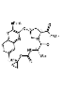 CCCCCc1nc2ccc(OC)cc2nc1O[C@@H]1C[C@@H](C(=O)OC)N(C(=O)[C@@H](NC(=O)OC2CC2)C(C)(C)C)C1